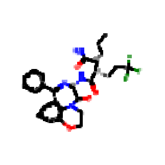 CCC[C@@H](C(N)=O)[C@H](CCC(F)(F)F)C(=O)N[C@H]1N=C(c2ccccc2)c2cccc3c2N(CCO3)C1=O